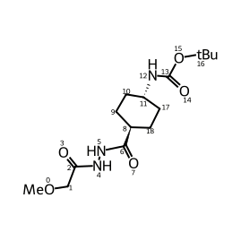 COCC(=O)NNC(=O)[C@H]1CC[C@H](NC(=O)OC(C)(C)C)CC1